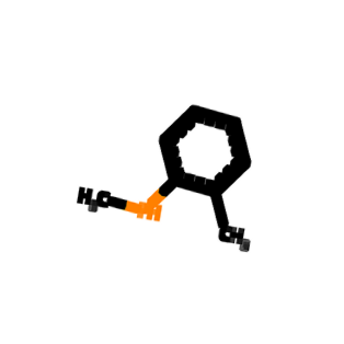 CPc1ccccc1C